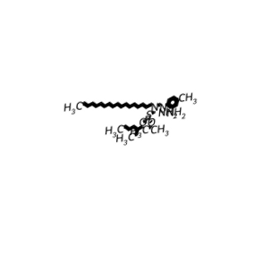 CCCCCCCCCCCCCCCCCCN(CSP(OCC(CC)CCCC)OC(C)C)CN(N)c1ccc(C)cc1N